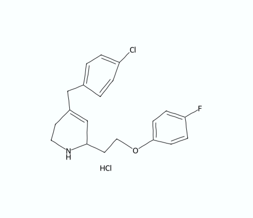 Cl.Fc1ccc(OCCC2C=C(Cc3ccc(Cl)cc3)CCN2)cc1